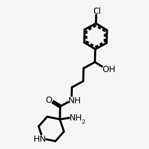 NC1(C(=O)NCCCC(O)c2ccc(Cl)cc2)CCNCC1